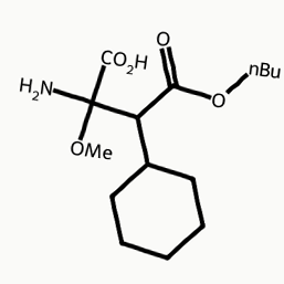 CCCCOC(=O)C(C1CCCCC1)C(N)(OC)C(=O)O